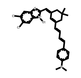 CC[n+]1c(C=C2C=C(C=CC=Cc3ccc(N(C)C)cc3)CC(C)(C)C2)sc2cc(Cl)c(Cl)cc21